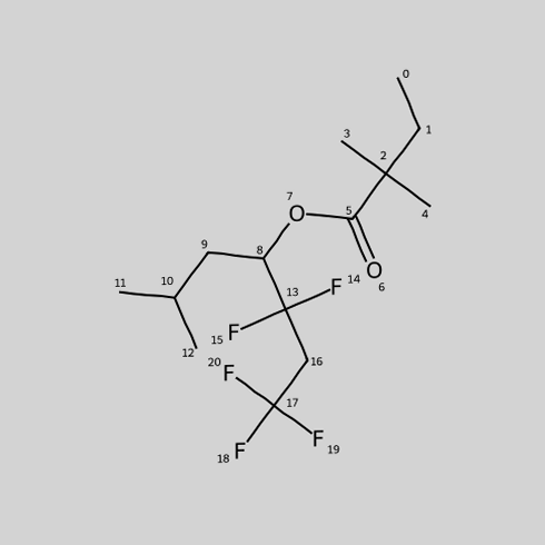 CCC(C)(C)C(=O)OC(CC(C)C)C(F)(F)CC(F)(F)F